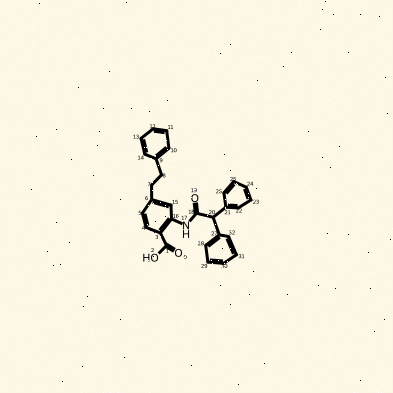 O=C(O)c1ccc(CCc2ccccc2)cc1NC(=O)C(c1ccccc1)c1ccccc1